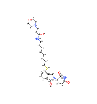 O=C(CCN1CCOCC1)NCCCCCCCCSc1cccc2c1CN(C1CCC(=O)NC1=O)C2=O